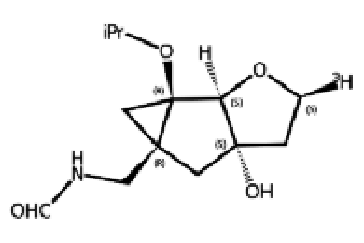 [3H][C@H]1C[C@@]2(O)C[C@]3(CNC=O)C[C@]3(OC(C)C)[C@H]2O1